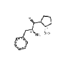 N[C@@H](Cc1ccccc1)C(=O)N1CCC[C@@H]1[C]=O